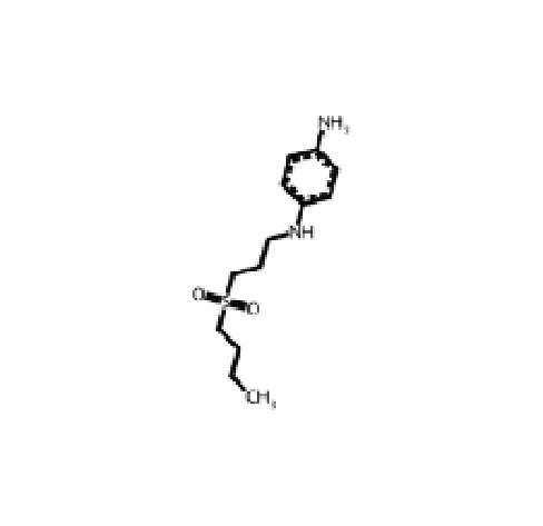 CCCCS(=O)(=O)CCCNc1ccc(N)cc1